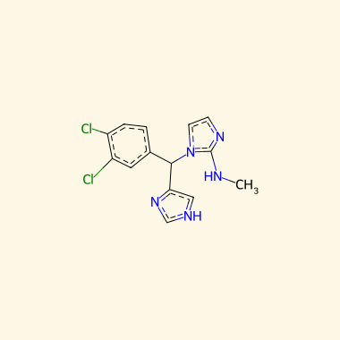 CNc1nccn1C(c1ccc(Cl)c(Cl)c1)c1c[nH]cn1